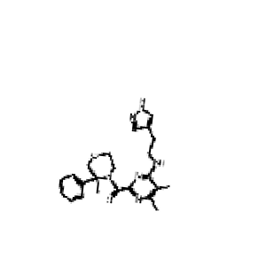 Cc1nc(C(=O)N2CCOCC2(C)c2ccccc2)nc(NCCc2cn[nH]c2)c1C